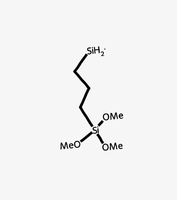 CO[Si](CCC[SiH2])(OC)OC